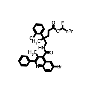 CCCC(F)OC(=O)CCC(C)(CNC(=O)c1c(C)c(-c2ccccc2)nc2ccc(Br)cc12)c1ccccc1Cl